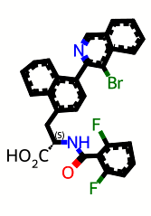 O=C(N[C@@H](Cc1ccc(-c2ncc3ccccc3c2Br)c2ccccc12)C(=O)O)c1c(F)cccc1F